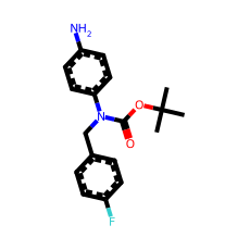 CC(C)(C)OC(=O)N(Cc1ccc(F)cc1)c1ccc(N)cc1